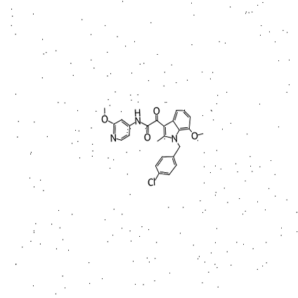 COc1cc(NC(=O)C(=O)c2c(C)n(Cc3ccc(Cl)cc3)c3c(OC)cccc23)ccn1